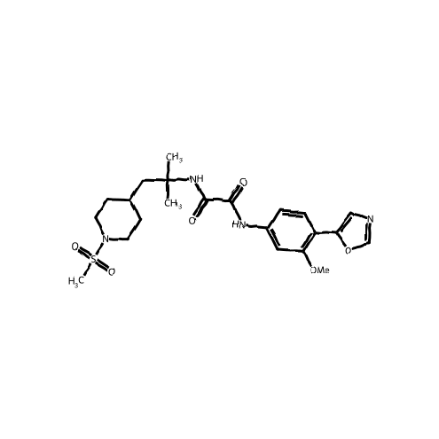 COc1cc(NC(=O)C(=O)NC(C)(C)CC2CCN(S(C)(=O)=O)CC2)ccc1-c1cnco1